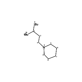 CC(C)(C)C(CCN1CCCCC1)C(C)(C)C